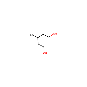 CCC(CCO)CCO